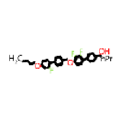 C=CCCCOc1ccc(-c2ccc(COc3ccc(-c4ccc(C(O)CCC)cc4)c(F)c3F)cc2)c(F)c1